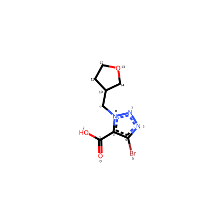 O=C(O)c1c(Br)nnn1CC1CCOC1